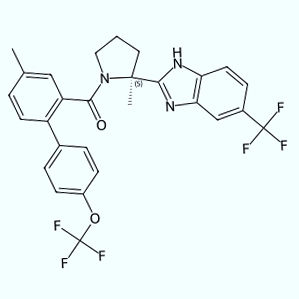 Cc1ccc(-c2ccc(OC(F)(F)F)cc2)c(C(=O)N2CCC[C@@]2(C)c2nc3cc(C(F)(F)F)ccc3[nH]2)c1